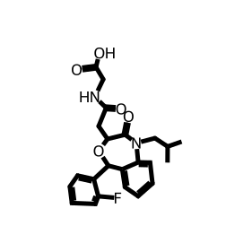 CC(C)CN1C(=O)C(CC(=O)NCC(=O)O)OC(c2ccccc2F)c2ccccc21